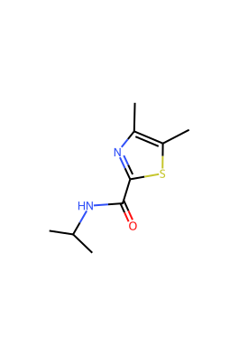 Cc1nc(C(=O)NC(C)C)sc1C